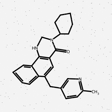 Cc1ccc(Cc2cc3c(c4ccccc24)NCN(C2CCCCC2)C3=O)cn1